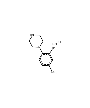 Cl.Cl.O=[N+]([O-])c1ccc(N2CCNCC2)c(Br)c1